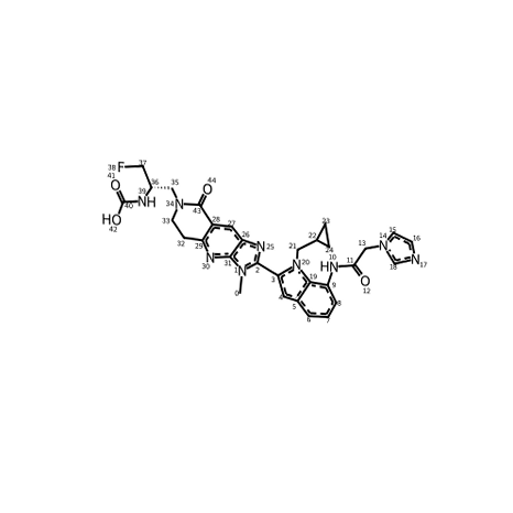 Cn1c(-c2cc3cccc(NC(=O)Cn4ccnc4)c3n2CC2CC2)nc2cc3c(nc21)CCN(C[C@@H](CF)NC(=O)O)C3=O